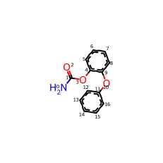 NC(=O)Oc1ccccc1Oc1ccccc1